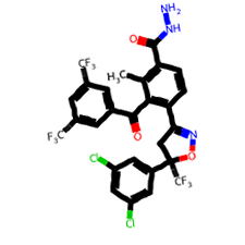 Cc1c(C(=O)NN)ccc(C2=NOC(c3cc(Cl)cc(Cl)c3)(C(F)(F)F)C2)c1C(=O)c1cc(C(F)(F)F)cc(C(F)(F)F)c1